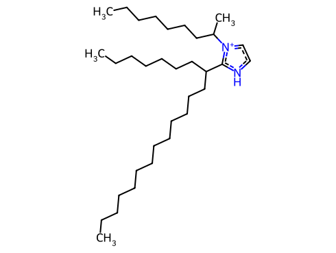 CCCCCCCCCCCCCC(CCCCCCC)c1[nH]cc[n+]1C(C)CCCCCCC